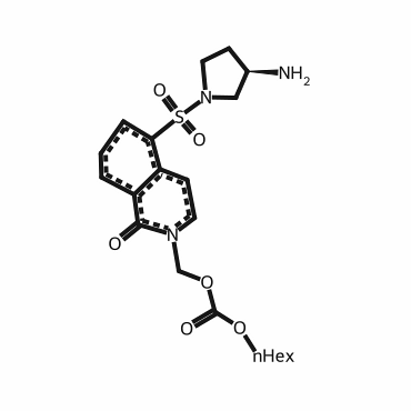 CCCCCCOC(=O)OCn1ccc2c(S(=O)(=O)N3CC[C@@H](N)C3)cccc2c1=O